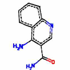 NC(=O)c1cnc2ccccc2c1N